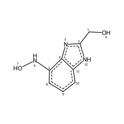 OCc1nc2c(NO)cccc2[nH]1